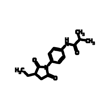 CCC1CC(=O)N(c2ccc(NC(=O)C(C)C)cc2)C1=O